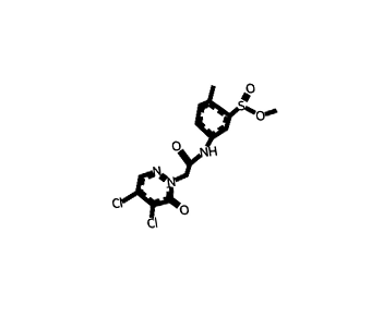 COS(=O)c1cc(NC(=O)Cn2ncc(Cl)c(Cl)c2=O)ccc1C